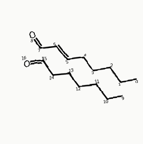 CCCCCC=CC=O.CCCCCCC=O